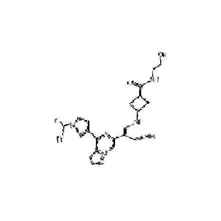 CCC(CC)n1cc(-c2nc(/C(C=N)=C/NC3CC(C(=O)NCCO)C3)cn3nccc23)cn1